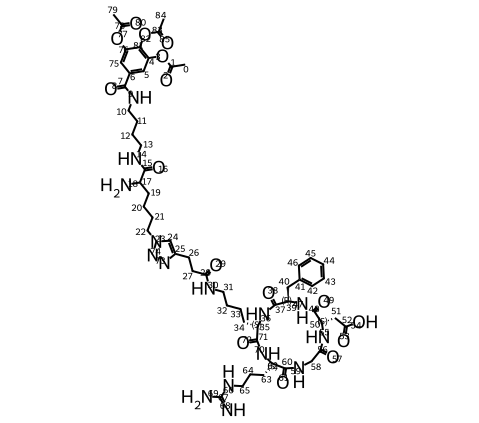 CC(=O)Oc1cc(C(=O)NCCCCNC(=O)C(N)CCCCn2cc(CCC(=O)NCCCC[C@@H]3NC(=O)[C@@H](Cc4ccccc4)NC(=O)[C@H](CC(=O)O)NC(=O)CNC(=O)[C@H](CCCNC(=N)N)NC3=O)nn2)cc(OC(C)=O)c1OC(C)=O